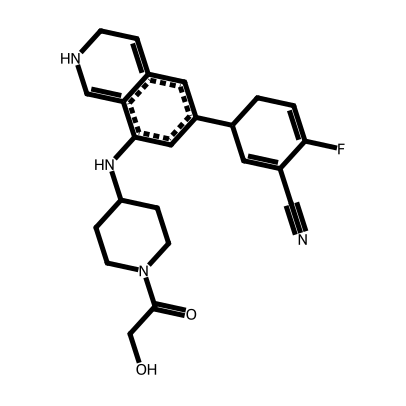 N#CC1=CC(c2cc(NC3CCN(C(=O)CO)CC3)c3c(c2)=CCNC=3)CC=C1F